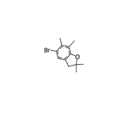 Cc1c(Br)cc2c(c1C)OC(C)(C)C2